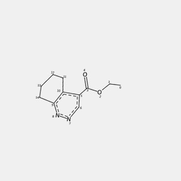 CCOC(=O)c1cnnc2c1CCCC2